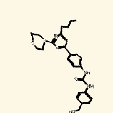 CCCCc1nc(-c2ccc(NC(=O)Nc3ccc(CO)cc3)cc2)nc(N2CCOCC2)n1